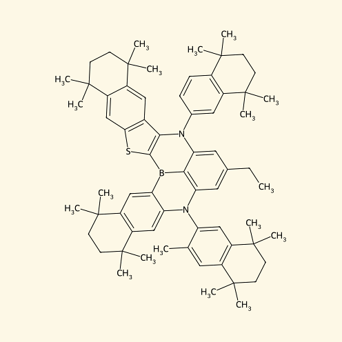 CCc1cc2c3c(c1)N(c1ccc4c(c1)C(C)(C)CCC4(C)C)c1c(sc4cc5c(cc14)C(C)(C)CCC5(C)C)B3c1cc3c(cc1N2c1cc2c(cc1C)C(C)(C)CCC2(C)C)C(C)(C)CCC3(C)C